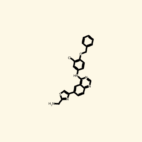 NCc1nc(-c2ccc3ncnc(Nc4ccc(OCc5ccccc5)c(Cl)c4)c3c2)cs1